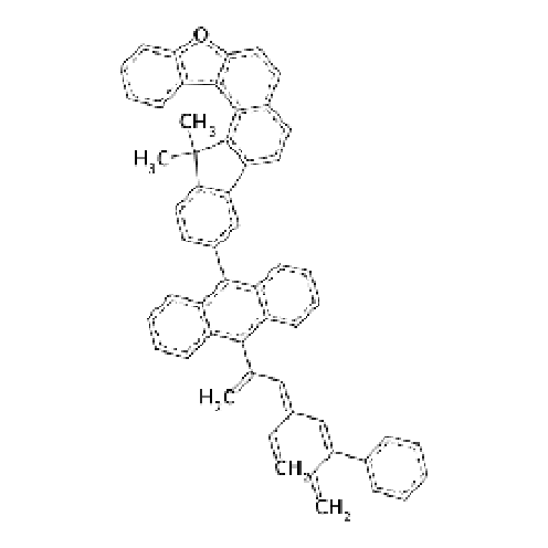 C=CC(=C\C(=C)c1c2ccccc2c(-c2ccc3c(c2)-c2ccc4ccc5oc6ccccc6c5c4c2C3(C)C)c2ccccc12)/C=C(\C=C)c1ccccc1